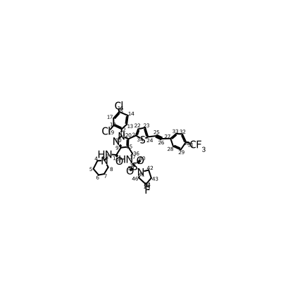 O=C(NN1CCCCC1)c1nn(-c2ccc(Cl)cc2Cl)c(-c2ccc(C#Cc3ccc(C(F)(F)F)cc3)s2)c1CNS(=O)(=O)N1CC[C@H](F)C1